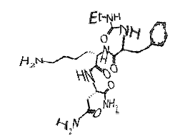 CCNC(=O)N[C@@H](Cc1ccccc1)C(=O)N[C@@H](CCCCN)C(=O)N[C@@H](CC(N)=O)C(N)=O